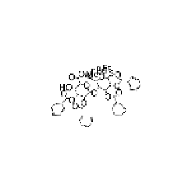 CCCCOCC1O[C@@H](SCC)[C@@H](OC(=O)c2ccccc2)C(OC(=O)c2ccccc2)[C@@H]1O[C@@H]1OC(C(=O)OC)[C@@H](O)C(OC(=O)c2ccccc2)[C@@H]1OC(=O)c1ccccc1